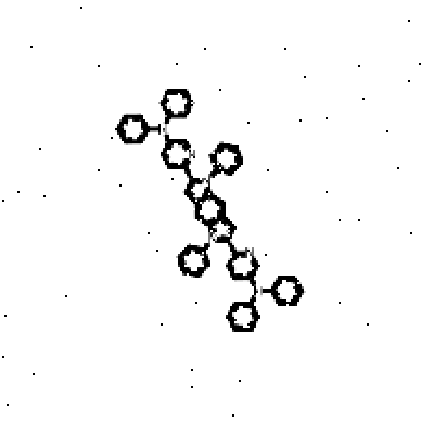 c1ccc(N(c2ccccc2)c2ccc(-c3cc4cc5c(cc(-c6ccc(N(c7ccccc7)c7ccccc7)cn6)n5-c5ccccc5)cc4n3-c3ccccc3)nc2)cc1